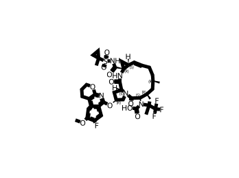 COc1cc2c3c(nc(O[C@@H]4C[C@H]5C(=O)N[C@]6(C(=O)NS(=O)(=O)C7(C)CC7)C[C@H]6C=CCC[C@@H](C)C[C@@H](C)[C@H](N(C(=O)O)C(C)(C)C(F)(F)F)C(=O)N5C4)c2cc1F)OCCC3